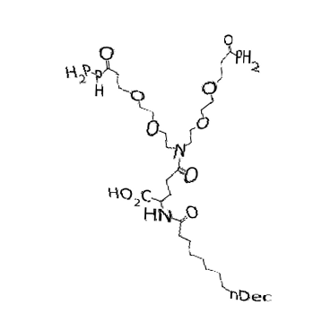 CCCCCCCCCCCCCCCCCC(=O)NC(CCC(=O)N(CCOCCOCCC(=O)P)CCOCCOCCC(=O)PP)C(=O)O